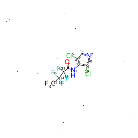 O=C(Nc1c(Cl)cncc1Cl)C(F)(F)C(F)(F)C(F)(F)F